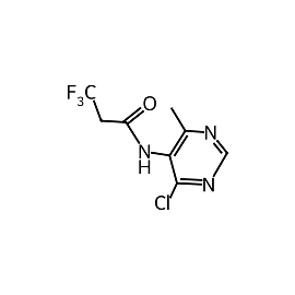 Cc1ncnc(Cl)c1NC(=O)CC(F)(F)F